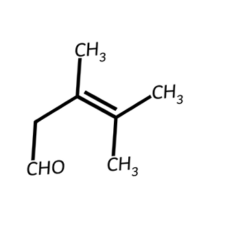 CC(C)=C(C)CC=O